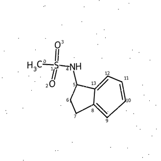 CS(=O)(=O)NC1[CH]Cc2ccccc21